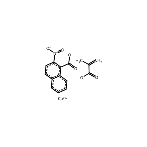 C=C(C)C(=O)[O-].O=C([O-])c1c([N+](=O)[O-])ccc2ccccc12.[Cu+2]